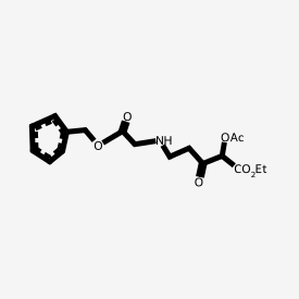 CCOC(=O)C(OC(C)=O)C(=O)CCNCC(=O)OCc1ccccc1